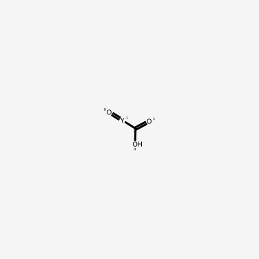 [O]=[Y][C](=O)O